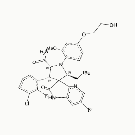 COc1cc(OCCO)ccc1N1[C@@H](CC(C)(C)C)C2(C(=O)Nc3cc(Br)cnc32)[C@H](c2cccc(Cl)c2F)[C@@H]1C(N)=O